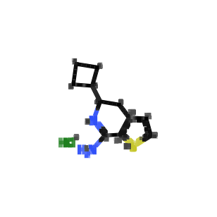 Cl.NC1=NC(C2CCC2)Cc2ccsc21